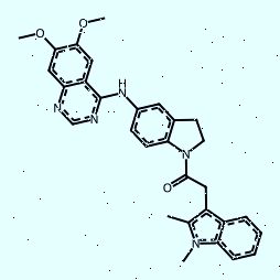 COc1cc2ncnc(Nc3ccc4c(c3)CCN4C(=O)Cc3c(C)n(C)c4ccccc34)c2cc1OC